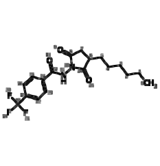 CCCCCCC1CC(=O)N(NC(=O)c2ccc(C(F)(F)F)cc2)C1=O